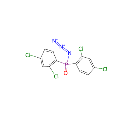 [N-]=[N+]=NP(=O)(c1ccc(Cl)cc1Cl)c1ccc(Cl)cc1Cl